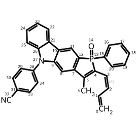 C=C/C=C\C1=C(C)c2cc3c(cc2P1(=O)c1ccccc1)c1ccccc1n3-c1ccc(C#N)cc1